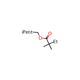 CCCC(C)COC(=O)C(C)(C)CC